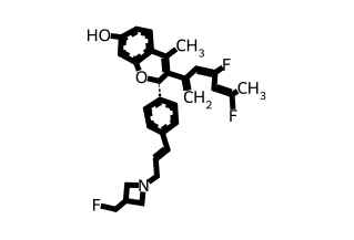 C=C(/C=C(F)\C=C(/C)F)C1=C(C)c2ccc(O)cc2O[C@H]1c1ccc(/C=C/CN2CC(CF)C2)cc1